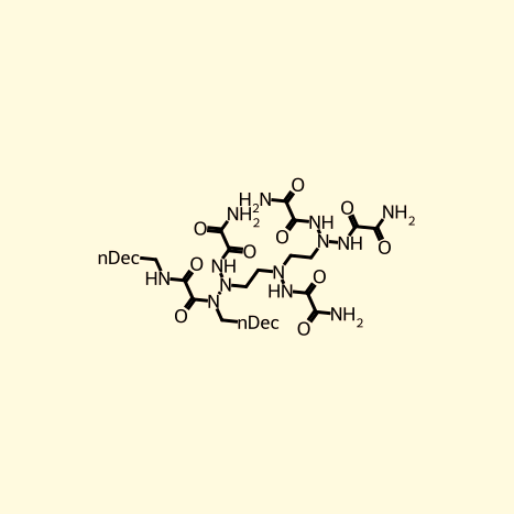 CCCCCCCCCCCNC(=O)C(=O)N(CCCCCCCCCCC)N(CCN(CCN(NC(=O)C(N)=O)NC(=O)C(N)=O)NC(=O)C(N)=O)NC(=O)C(N)=O